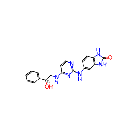 O=c1[nH]c2ccc(Nc3nccc(NC[C@@H](O)c4ccccc4)n3)cc2[nH]1